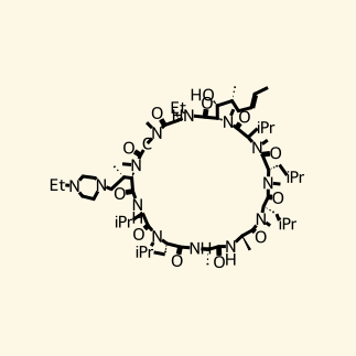 C/C=C/C[C@@H](C)[C@@H](O)[C@H]1C(=O)N[C@@H](CC)C(=O)N(C)CC(=O)N(C)[C@@H]([C@@H](C)CN2CCN(CC)CC2)C(=O)NC(C(C)C)C(=O)N(C)[C@@H](CC(C)C)C(=O)N[C@@H](C)C(=O)N[C@H](C)C(=O)N(C)[C@@H](CC(C)C)C(=O)N(C)[C@@H](CC(C)C)C(=O)N(C)C(C(C)C)C(=O)N1C